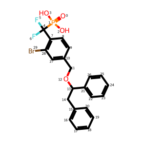 O=P(O)(O)C(F)(F)c1ccc(COC(Cc2ccccc2)c2ccccc2)cc1Br